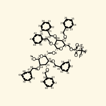 CO[C@H]1O[C@H](CO[C@H]2O[C@H](COS(=O)(=O)C(F)(F)F)[C@@H](OCc3ccccc3)[C@H](OCc3ccccc3)[C@H]2OCc2ccccc2)[C@@H](OCc2ccccc2)[C@H](OCc2ccccc2)[C@H]1OCc1ccccc1